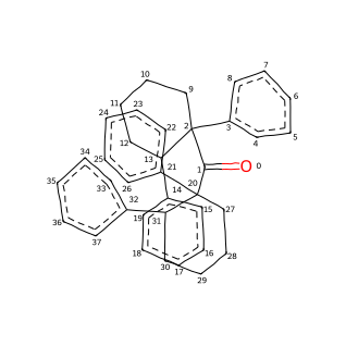 O=C(C1(c2ccccc2)CCCCC1c1ccccc1)C1(c2ccccc2)CCCCC1c1ccccc1